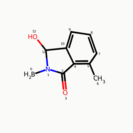 BN1C(=O)c2c(C)cccc2C1O